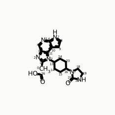 Cc1nc2cnc3[nH]ccc3c2n1C1CCC(N2CCNC2=O)CC1.O=CO